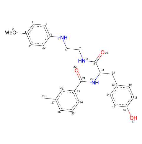 COc1ccc(NCCNC(=O)C(Cc2ccc(O)cc2)NC(=O)c2cccc(C)c2)cc1